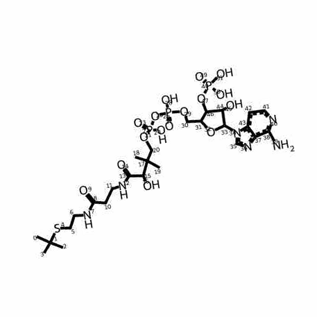 CC(C)(C)SCCNC(=O)CCNC(=O)C(O)C(C)(C)COP(=O)(O)OP(=O)(O)OCC1OC(n2cnc3c(N)nccc32)C(O)C1OP(=O)(O)O